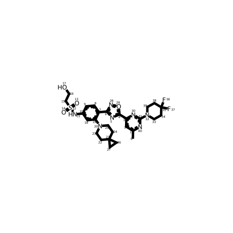 Cc1cc(-c2nc(-c3ccc(NS(=O)(=O)CCO)cc3N3CCC4(CC3)CC4)no2)nc(N2CCC(F)(F)CC2)n1